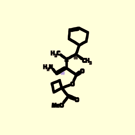 COC(=O)C1(OC(=O)/C(=C/N)N(C)[C@H](C)C2CC=CCC2)CCC1